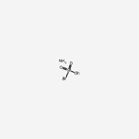 N.O=[Se](=O)(O)Br